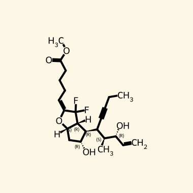 C=C[C@@H](O)[C@@H](C)C(C#CCC)[C@@H]1[C@@H]2[C@H](C[C@H]1O)OC(=CCCCC(=O)OC)C2(F)F